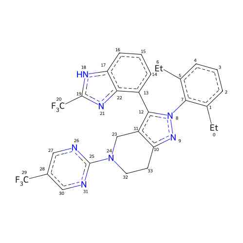 CCc1cccc(CC)c1-n1nc2c(c1-c1cccc3[nH]c(C(F)(F)F)nc13)CN(c1ncc(C(F)(F)F)cn1)CC2